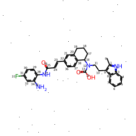 Cc1[nH]c2ccccc2c1CCN(C(=O)O)C1CCCc2cc(/C=C/C(=O)Nc3ccc(F)cc3N)ccc21